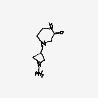 O=C1CN(C2CN(P)C2)CCN1